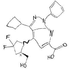 O=C(O)c1cc(N2CC(F)(F)C[C@@H]2CO)c2c(C3CCC3)nn(-c3ccccc3)c2n1